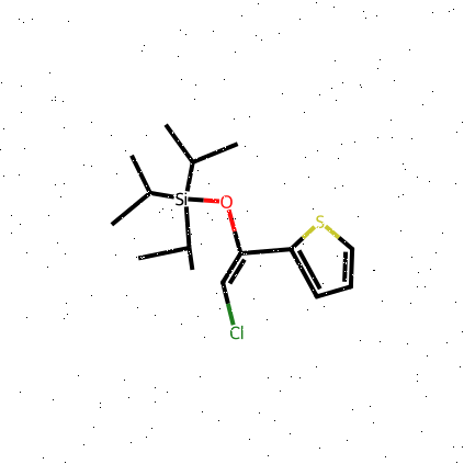 CC(C)[Si](O/C(=C/Cl)c1cccs1)(C(C)C)C(C)C